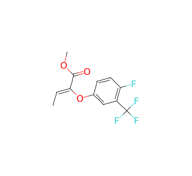 C/C=C(\Oc1ccc(F)c(C(F)(F)F)c1)C(=O)OC